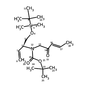 C=C[C@@H](CO[Si](C)(C)C(C)(C)C)N(CC(=O)C=CC)C(=O)OC(C)(C)C